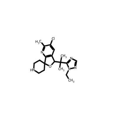 CCn1ncnc1C(C)(C)C1OC2(CCNCC2)c2nc(C)c(Cl)cc21